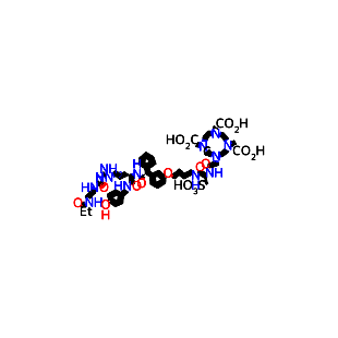 CCC(=O)NCCNC(=O)/N=C(/N)NCCC[C@@H](NC(=O)[C@H](c1ccccc1)c1cccc(OCCCCNC(=O)[C@H](CS(=O)(=O)O)NC(=O)CN2CCN(CC(=O)O)CCN(CC(=O)O)CCN(CC(=O)O)CC2)c1)C(=O)NCc1ccc(O)cc1